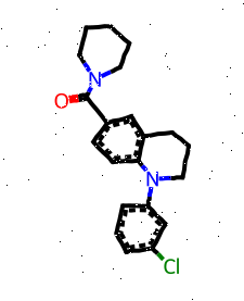 O=C(c1ccc2c(c1)CCCN2c1cccc(Cl)c1)N1CCCCC1